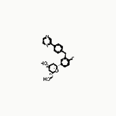 OC[C@@H]1C[C@H](O)C[C@H](c2ccc(Cl)c(Cc3ccc(-c4cnccn4)cc3)c2)O1